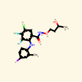 Cc1cc(I)ccc1Nc1c(C(=O)NOCCC(C)O)cc(Cl)c(F)c1F